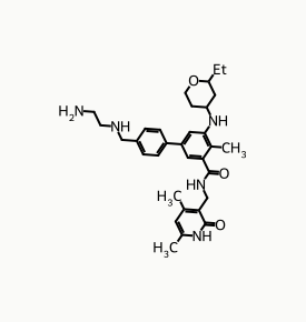 CCC1CC(Nc2cc(-c3ccc(CNCCN)cc3)cc(C(=O)NCc3c(C)cc(C)[nH]c3=O)c2C)CCO1